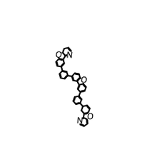 C1=CN=C2c3cc(-c4cccc(-c5ccc6oc7ccc(-c8cccc(C9C=Cc%10oc%11cccnc%11c%10C9)c8)cc7c6c5)c4)ccc3OC2C1